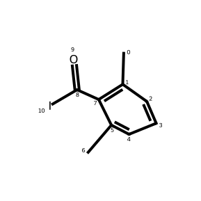 Cc1cccc(C)c1C(=O)I